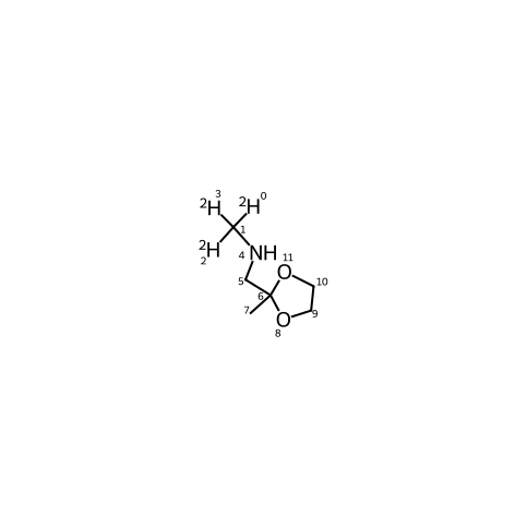 [2H]C([2H])([2H])NCC1(C)OCCO1